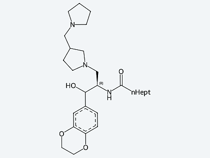 CCCCCCCC(=O)N[C@H](CN1CCC(CN2CCCC2)C1)C(O)c1ccc2c(c1)OCCO2